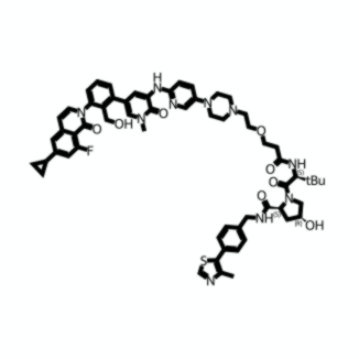 Cc1ncsc1-c1ccc(CNC(=O)[C@@H]2C[C@@H](O)CN2C(=O)[C@@H](NC(=O)CCOCCN2CCN(c3ccc(Nc4cc(-c5cccc(-n6ccc7cc(C8CC8)cc(F)c7c6=O)c5CO)cn(C)c4=O)nc3)CC2)C(C)(C)C)cc1